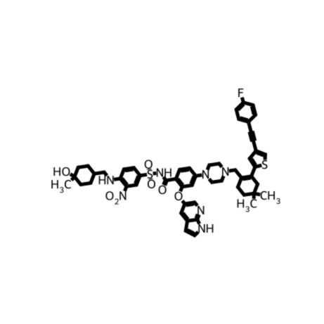 CC1(C)CCC(CN2CCN(c3ccc(C(=O)NS(=O)(=O)c4ccc(NCC5CCC(C)(O)CC5)c([N+](=O)[O-])c4)c(Oc4cnc5[nH]ccc5c4)c3)CC2)=C(c2cc(C#Cc3ccc(F)cc3)cs2)C1